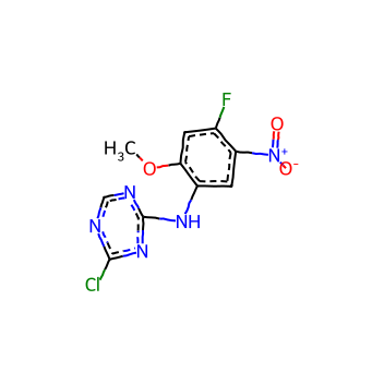 COc1cc(F)c([N+](=O)[O-])cc1Nc1ncnc(Cl)n1